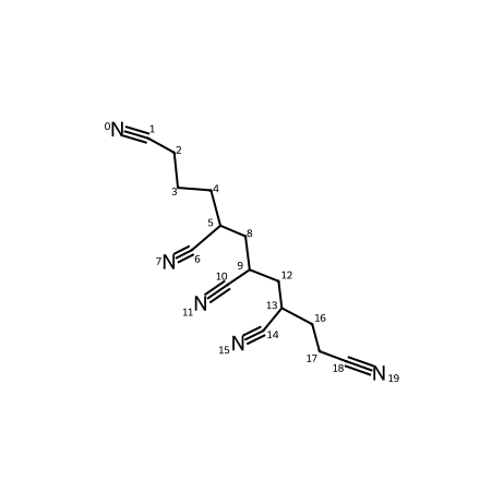 N#CCCCC(C#N)CC(C#N)CC(C#N)CCC#N